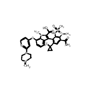 COc1c(C(N)=O)cc(C2(C)CC2)c(-c2c(C(=O)O)n(C)c3c(Oc4ccnc(N5CCN(C)CC5)c4)cccc23)c1NS(C)(=O)=O